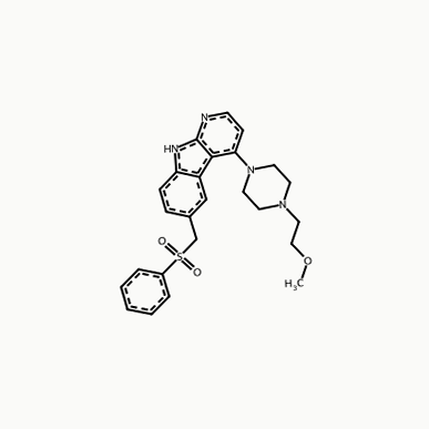 COCCN1CCN(c2ccnc3[nH]c4ccc(CS(=O)(=O)c5ccccc5)cc4c23)CC1